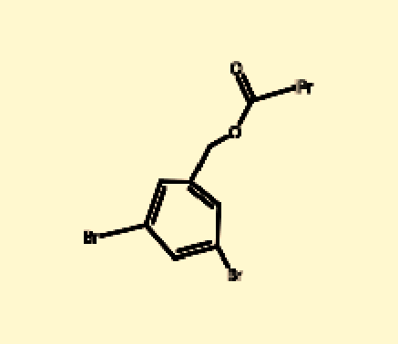 CC(C)C(=O)OCc1cc(Br)cc(Br)c1